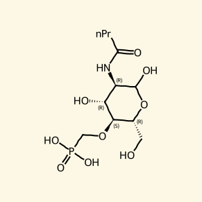 CCCC(=O)N[C@H]1C(O)O[C@H](CO)[C@@H](OCP(=O)(O)O)[C@@H]1O